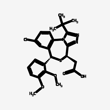 COc1cccc([C@H]2S[C@H](CC(=O)O)c3nnc(C(C)(C)C)n3-c3ccc(Cl)cc32)c1OC